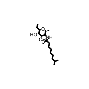 CCC1O[C@@H](C)C(NC(=O)CCCCCCC(C)C)[C@@H](O)[C@@H]1O